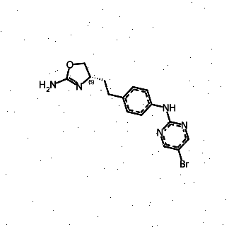 NC1=N[C@@H](CCc2ccc(Nc3ncc(Br)cn3)cc2)CO1